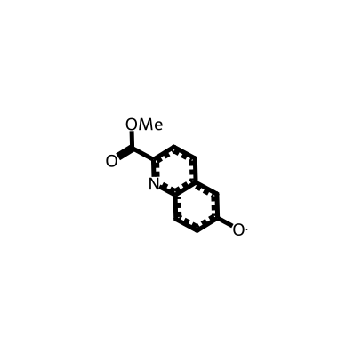 COC(=O)c1ccc2cc([O])ccc2n1